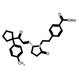 COC(=O)c1ccc(CCN2C(=O)CC[C@@H]2C=CC(=O)C2(c3ccc(C)cc3)CCCC2)cc1